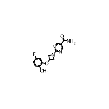 Cc1ccc(F)cc1OC1CN(c2ncc(C(N)=O)cn2)C1